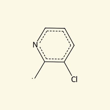 [CH2]c1ncccc1Cl